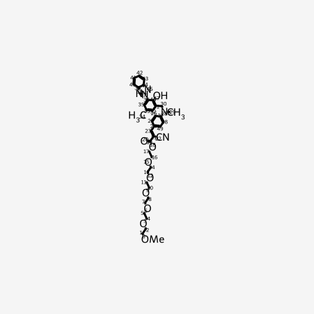 COCCOCCOCCOCCOCCOCCOC(=O)/C(C#N)=C/c1ccc(N(C)Cc2cc(C)cc(-n3nc4ccccc4n3)c2O)cc1